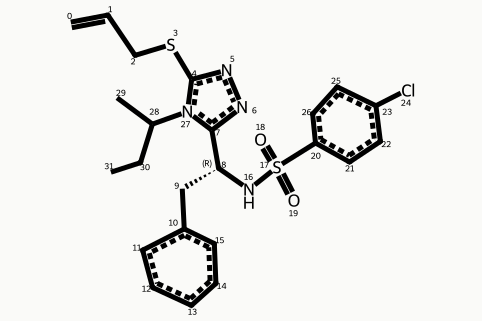 C=CCSc1nnc([C@@H](Cc2ccccc2)NS(=O)(=O)c2ccc(Cl)cc2)n1C(C)CC